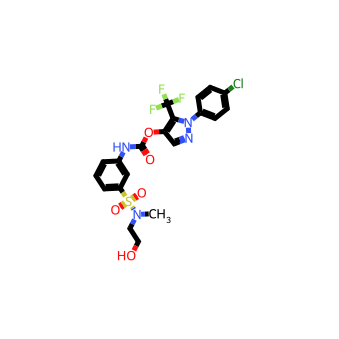 CN(CCO)S(=O)(=O)c1cccc(NC(=O)Oc2cnn(-c3ccc(Cl)cc3)c2C(F)(F)F)c1